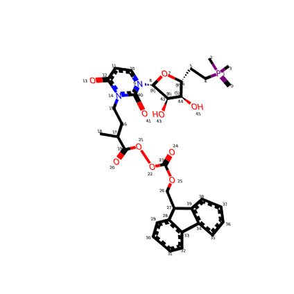 C=P(C)(C)CC[C@H]1O[C@@H](n2ccc(=O)n(CCC(C)C(=O)OOC(=O)OCC3c4ccccc4-c4ccccc43)c2=O)[C@H](O)[C@@H]1O